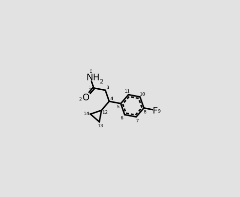 NC(=O)CC(c1ccc(F)cc1)C1CC1